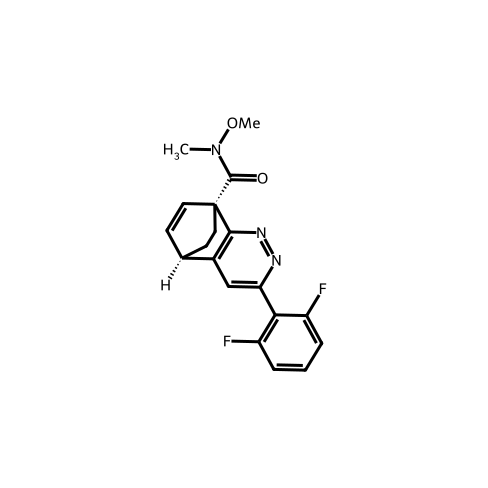 CON(C)C(=O)[C@@]12C=C[C@@H](CC1)c1cc(-c3c(F)cccc3F)nnc12